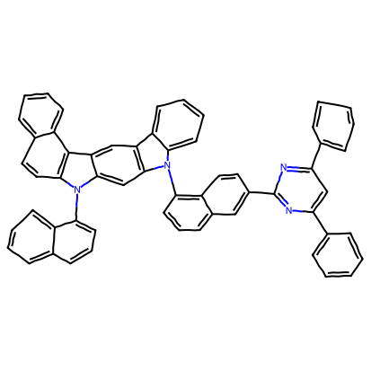 c1ccc(-c2cc(-c3ccccc3)nc(-c3ccc4c(-n5c6ccccc6c6cc7c8c9ccccc9ccc8n(-c8cccc9ccccc89)c7cc65)cccc4c3)n2)cc1